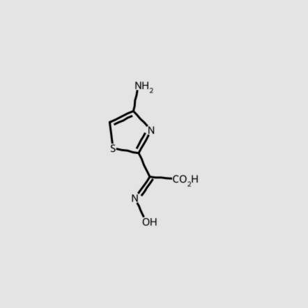 Nc1csc(/C(=N/O)C(=O)O)n1